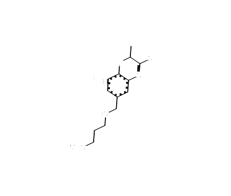 CNCCCNCc1ccc2c(c1)N=C(N)C(C)O2.Cl.Cl.Cl